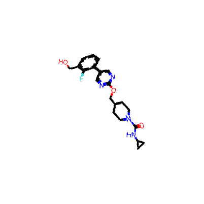 O=C(NC1CC1)N1CCC(COc2ncc(-c3cccc(CO)c3F)cn2)CC1